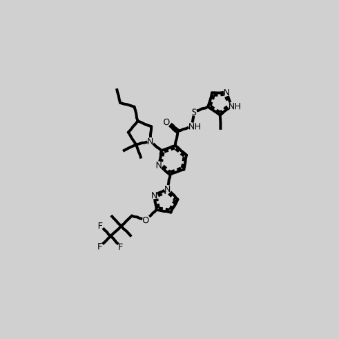 CCCC1CN(c2nc(-n3ccc(OCC(C)(C)C(F)(F)F)n3)ccc2C(=O)NSc2cn[nH]c2C)C(C)(C)C1